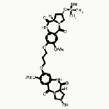 COc1cc2c(cc1OCCCOc1cc3c(cc1OC)C(=O)N1C[C@H](O[Si](C)(C)C(C)(C)C)C[C@H]1C(=O)N3)NC(=O)[C@@H]1C[C@@H](O)CN1C2=O